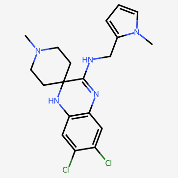 CN1CCC2(CC1)Nc1cc(Cl)c(Cl)cc1N=C2NCc1cccn1C